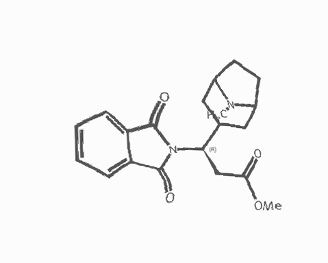 COC(=O)C[C@H](C1CC2CCC(C1)N2C)N1C(=O)c2ccccc2C1=O